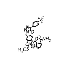 CSCC(C)N(C(=O)c1c(I)cccc1C(N)=O)c1ccc(CN2N=NC(c3ccc(C(F)(F)F)cc3)C2=O)cc1C